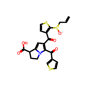 C=CC[S+]([O-])c1sccc1C(=O)c1cc2n(c1C(=O)c1ccsc1)CCC2C(=O)O